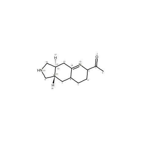 CC(=O)C1CCC2C[C@@H]3CNC[C@H]3CC2=N1